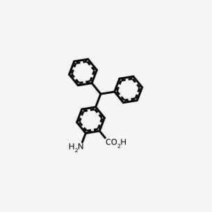 Nc1ccc(C(c2ccccc2)c2ccccc2)cc1C(=O)O